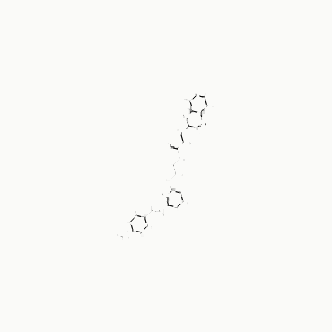 COc1ccc(CNc2cccc(CCCCC(=O)/C=C/c3cnc4ccccc4n3)n2)cc1